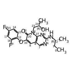 CC[C@@H](C)Nc1ncc2cc(Oc3ccc(F)cc3F)c(=O)n(C[C@@H](C)O)c2n1